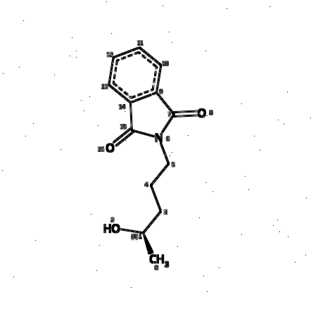 C[C@@H](O)CCCN1C(=O)c2ccccc2C1=O